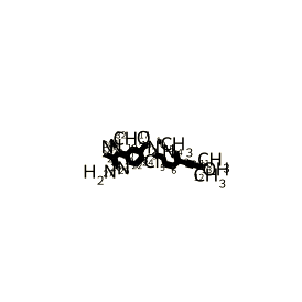 CCN(Cc1ccc(C#CC(C)(C)O)cn1)C(=O)c1cc2c(cc1Cl)nc(N)c1cnn(C)c12